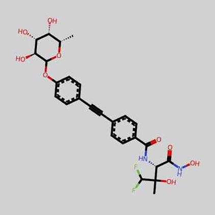 C[C@@H]1OC(Oc2ccc(C#Cc3ccc(C(=O)N[C@H](C(=O)NO)C(C)(O)C(F)F)cc3)cc2)[C@@H](O)[C@H](O)[C@@H]1O